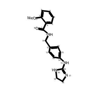 COc1ccccc1C(=O)NCc1ccc(NC2=NCCN2)cc1